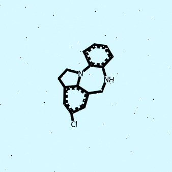 Clc1cc2c3c(c1)CNc1ccccc1N3CC2